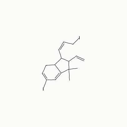 C=CC1C(/C=C\CI)C2CC=C(I)C=C2C1(C)C